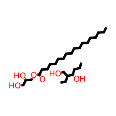 CCCC(O)C(CC)CO.CCCCCCCCCCCCCCCCCC(=O)OCC(O)CO